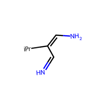 CC(C)/C(C=N)=C/N